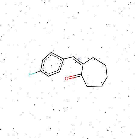 O=C1CCCCC/C1=C/c1ccc(F)cc1